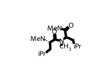 CNC(=O)C(CC(C)C)N(C)C(=O)[C@H](CC(C)C)NC